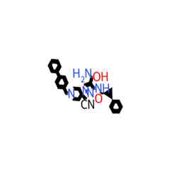 N#CCC1(n2cc(C(N)O)c(NC(=O)[C@H]3C[C@@H]3c3ccccc3)n2)CCN(Cc2ccc(-c3ccccc3)cc2)CC1